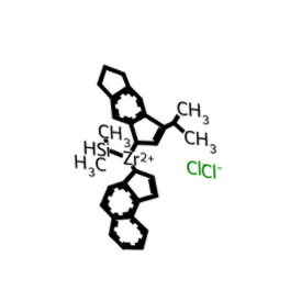 CC(C)C1=C[CH]([Zr+2]([CH]2C=Cc3c2ccc2ccccc32)[SiH](C)C)c2cc3c(cc21)CCC3.[Cl-].[Cl-]